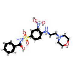 O=C(NS(=O)(=O)c1ccc(NCCN2CCOCC2)c([N+](=O)[O-])c1)c1ccccc1